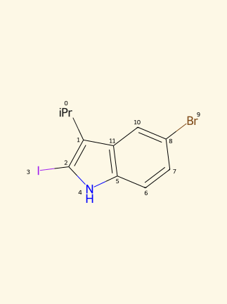 CC(C)c1c(I)[nH]c2ccc(Br)cc12